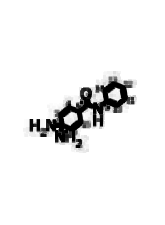 NC1(N)C=CC(C(=O)Nc2ccccc2)C=C1